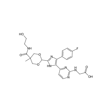 CC1(C(=O)NCCO)COC(c2nc(-c3ccc(F)cc3)c(-c3ccnc(NCC(=O)O)n3)[nH]2)OC1